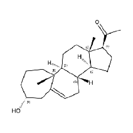 CC(=O)[C@H]1CC[C@H]2[C@@H]3CC=C4C[C@H](O)CCC[C@]4(C)[C@H]3CC[C@]12C